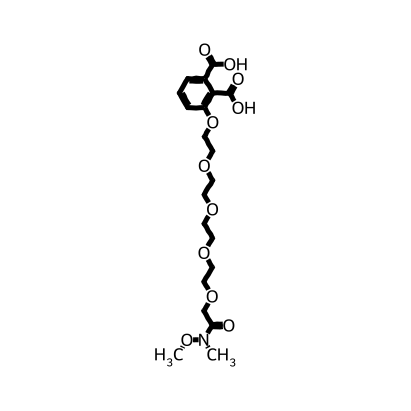 CON(C)C(=O)COCCOCCOCCOCCOc1cccc(C(=O)O)c1C(=O)O